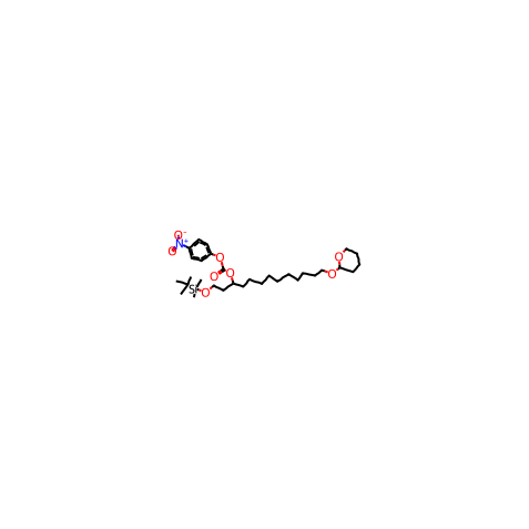 CC(C)(C)[Si](C)(C)OCCC(CCCCCCCCCCOC1CCCCO1)OC(=O)Oc1ccc([N+](=O)[O-])cc1